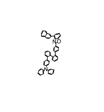 c1ccc(N(c2ccccc2)c2ccc(-c3ccccc3-c3ccccc3-c3ccc(-c4nc5c(-c6ccc7ccccc7c6)cccc5o4)cc3)cc2)cc1